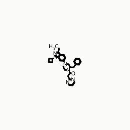 CCc1nn(C2CCC2)c2cc(N3CCN(C(=O)Cc4ncccn4)C(Cc4ccccc4)C3)ccc12